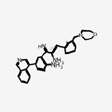 N=C(/C(N)=C/c1cccc(CN2CCOCC2)c1)c1cc(-c2cncc3ccccc23)ccc1N